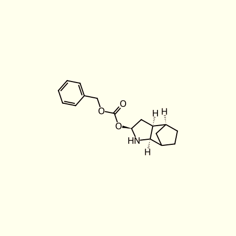 O=C(OCc1ccccc1)O[C@H]1C[C@H]2[C@H]3CCC(C3)[C@H]2N1